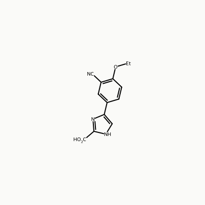 CCOc1ccc(-c2c[nH]c(C(=O)O)n2)cc1C#N